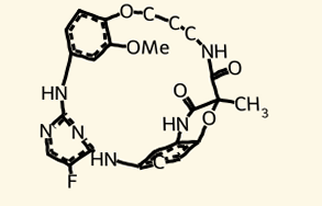 COc1cc2ccc1OCCCNC(=O)C1(C)Oc3ccc(cc3NC1=O)Nc1nc(ncc1F)N2